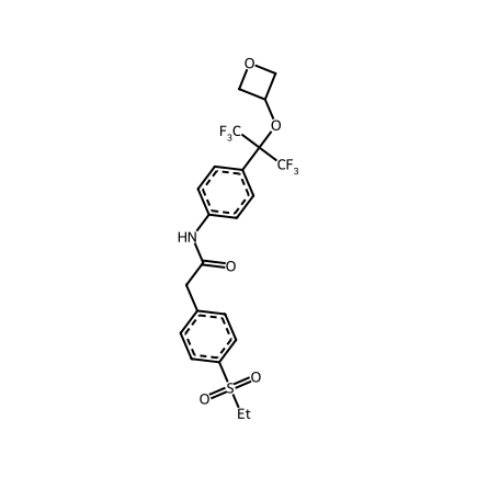 CCS(=O)(=O)c1ccc(CC(=O)Nc2ccc(C(OC3COC3)(C(F)(F)F)C(F)(F)F)cc2)cc1